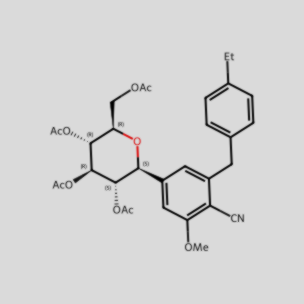 CCc1ccc(Cc2cc([C@@H]3O[C@H](COC(C)=O)[C@@H](OC(C)=O)[C@H](OC(C)=O)[C@H]3OC(C)=O)cc(OC)c2C#N)cc1